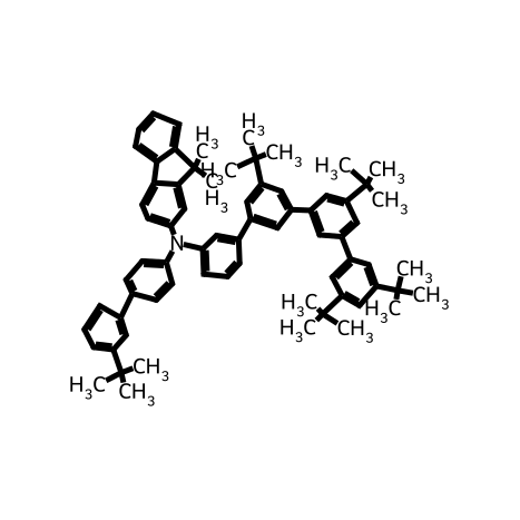 CC(C)(C)c1cccc(-c2ccc(N(c3cccc(-c4cc(-c5cc(-c6cc(C(C)(C)C)cc(C(C)(C)C)c6)cc(C(C)(C)C)c5)cc(C(C)(C)C)c4)c3)c3ccc4c(c3)C(C)(C)c3ccccc3-4)cc2)c1